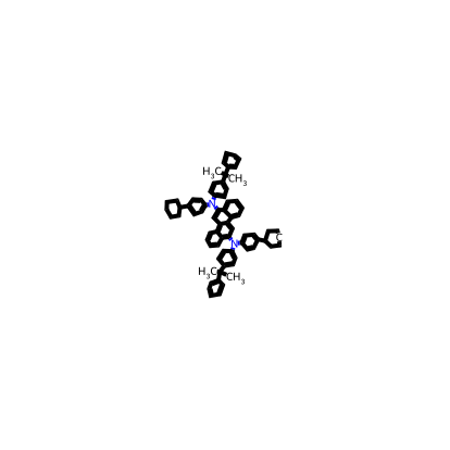 CC(C)(c1ccccc1)c1ccc(N(c2ccc(C3CCCCC3)cc2)c2cc3c4ccccc4c(N(c4ccc(C5CCCCC5)cc4)c4ccc(C(C)(C)c5ccccc5)cc4)cc3c3ccccc23)cc1